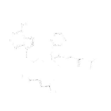 CC(C)OC(=O)CCN[P@](=O)(CO[C@H](C)Cn1cnc2c(N)ncnc21)Oc1ccccc1.O=C(O)/C=C/C(=O)O